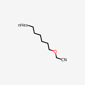 CCCCCCCCCCCCOCC#N